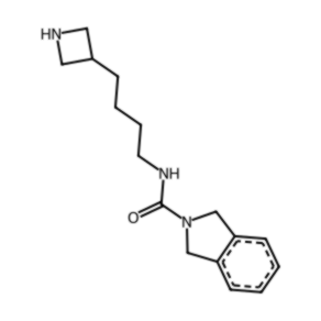 O=C(NCCCCC1CNC1)N1Cc2ccccc2C1